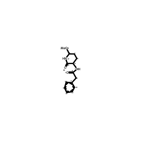 COC1CCC(NC(=O)Cc2ccccc2)C(=O)N1